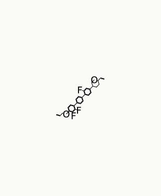 C=CCOc1ccc(-c2ccc(-c3ccc(C4CCC(C=C)OC4)cc3F)cc2)c(F)c1F